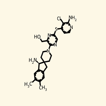 Cc1cc2c(cc1C)[C@@H](N)C1(CCN(c3ncc(Sc4ccnc(N)c4Cl)nc3CO)CC1)C2